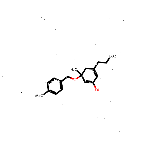 COc1ccc(COC2(C)C=C(O)C=C(CCOC(C)=O)C2)cc1